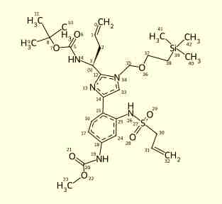 C=CC[C@H](NC(=O)OC(C)(C)C)c1nc(-c2ccc(NC(=O)OC)cc2NS(=O)(=O)CC=C)cn1COCC[Si](C)(C)C